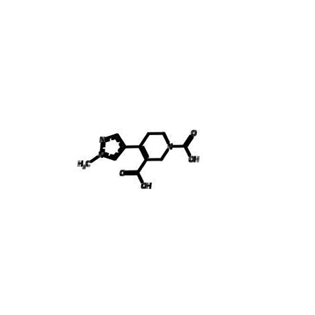 Cn1cc(C2=C(C(=O)O)CN(C(=O)O)CC2)cn1